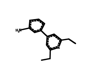 CCc1cc(-c2cccc(N)c2)cc(CC)n1